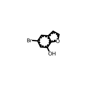 Oc1cc(Br)cc2ccoc12